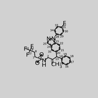 CC(CNS(=O)(=O)CCC(F)(F)F)C(c1ccccc1)c1ccc2c(cnn2-c2ccc(F)cc2)c1